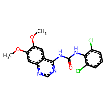 COc1cc2ncnc(NC(=O)Nc3c(Cl)cccc3Cl)c2cc1OC